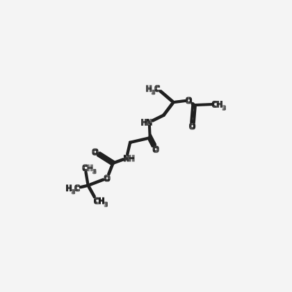 CC(=O)OC(C)CNC(=O)CNC(=O)OC(C)(C)C